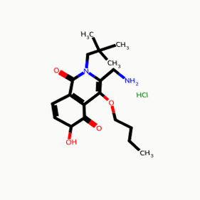 CCCCOc1c2c(c(=O)n(CC(C)(C)C)c1CN)C=CC(O)C2=O.Cl